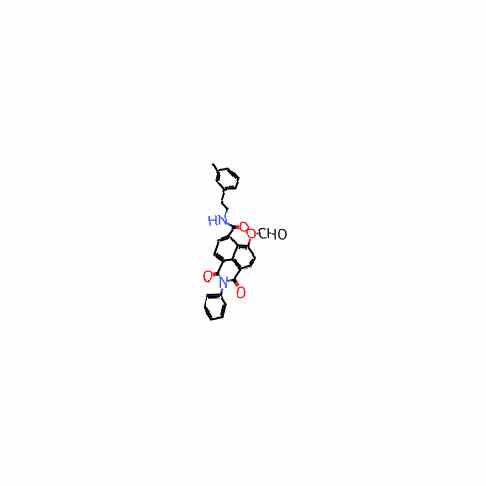 Cc1cccc(CCNC(=O)c2ccc3c4c(ccc(OC=O)c24)C(=O)N(c2ccccc2)C3=O)c1